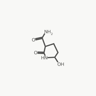 NC(=O)C1CCC(O)NC1=O